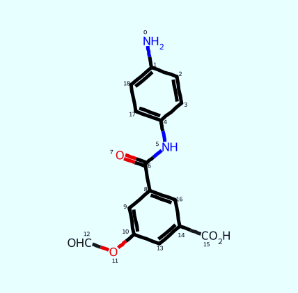 Nc1ccc(NC(=O)c2cc(OC=O)cc(C(=O)O)c2)cc1